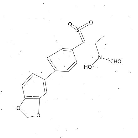 CC(C(c1ccc(-c2ccc3c(c2)OCO3)cc1)=S(=O)=O)N(O)C=O